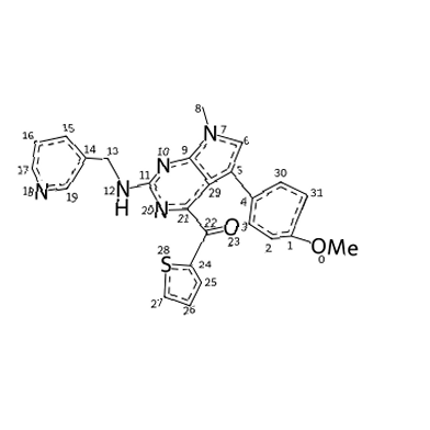 COc1ccc(-c2cn(C)c3nc(NCc4cccnc4)nc(C(=O)c4cccs4)c23)cc1